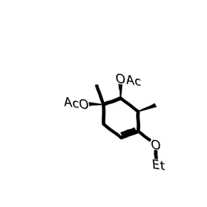 CCOC1=CC[C@@](C)(OC(C)=O)[C@@H](OC(C)=O)[C@H]1C